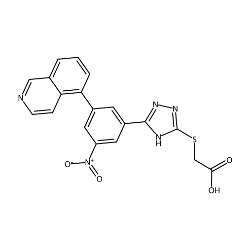 O=C(O)CSc1nnc(-c2cc(-c3cccc4cnccc34)cc([N+](=O)[O-])c2)[nH]1